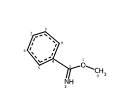 COC(=N)c1cc[c]cc1